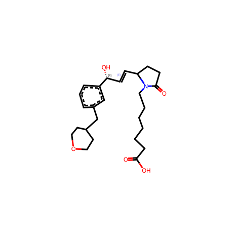 O=C(O)CCCCCCN1C(=O)CCC1/C=C/[C@@H](O)c1cccc(CC2CCOCC2)c1